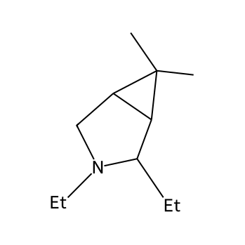 CCC1C2C(CN1CC)C2(C)C